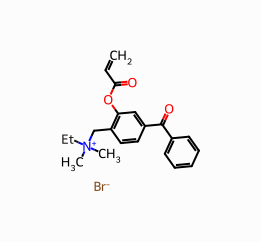 C=CC(=O)Oc1cc(C(=O)c2ccccc2)ccc1C[N+](C)(C)CC.[Br-]